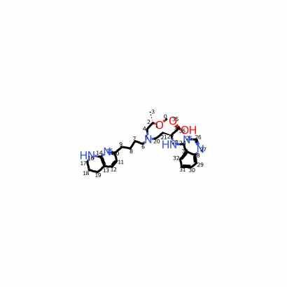 CO[C@@H](C)CN(CCCCc1ccc2c(n1)NCCC2)CC[C@H](Nc1ncnc2ccccc12)C(=O)O